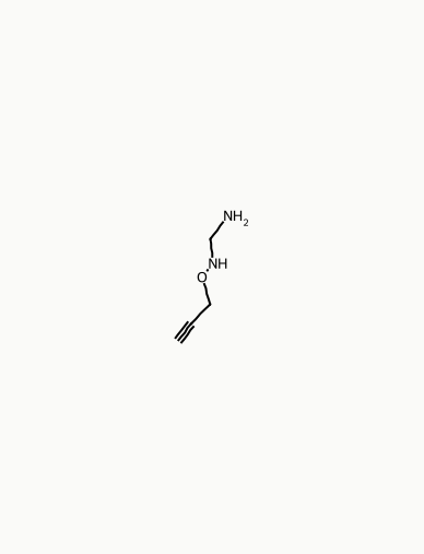 C#CCONCN